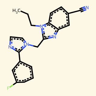 CCCn1c(Cn2ccnc2-c2cccc(F)c2)nc2cc(C#N)ccc21